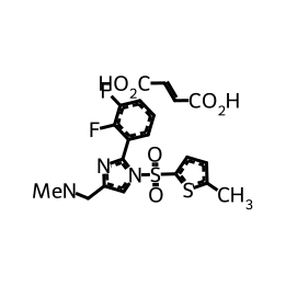 CNCc1cn(S(=O)(=O)c2ccc(C)s2)c(-c2cccc(F)c2F)n1.O=C(O)C=CC(=O)O